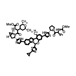 COC(=O)NC(C(=O)N1CCC[C@H]1c1ncc(-c2cc(C)c3c(c2)OC(c2cnc(C4CC4)s2)n2c-3cc3cc(-c4cnc([C@@H]5C[C@H]6C[C@H]6N5C(=O)C(NC(=O)OC)C5C[C@@H](C)O[C@@H](C)C5)[nH]4)ccc32)[nH]1)C(C)C